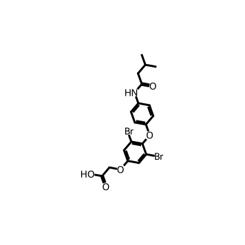 CC(C)CC(=O)Nc1ccc(Oc2c(Br)cc(OCC(=O)O)cc2Br)cc1